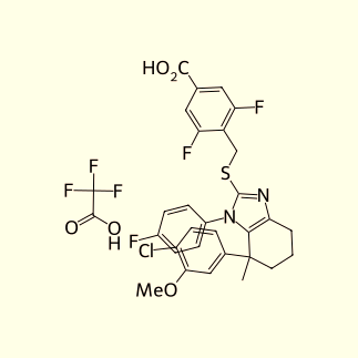 COc1cc(C2(C)CCCc3nc(SCc4c(F)cc(C(=O)O)cc4F)n(-c4ccc(F)cc4)c32)ccc1Cl.O=C(O)C(F)(F)F